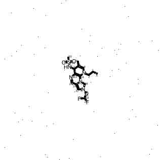 CCCN1C=C(C)C(NS(C)(=O)=O)C2=C1N1CN(OC(F)F)C=C1C=N2